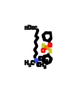 CCCCCCCCCCCCCCCCCC[N+](C)(C)C.[O-]P(=S)(Oc1ccccc1)Sc1ccccc1